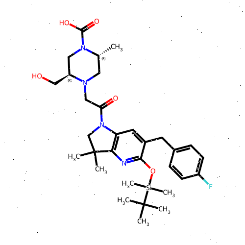 C[C@@H]1CN(CC(=O)N2CC(C)(C)c3nc(O[Si](C)(C)C(C)(C)C)c(Cc4ccc(F)cc4)cc32)[C@@H](CO)CN1C(=O)O